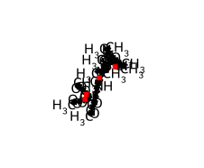 CCN(CCCC(=O)NCCCCC(C(=O)OCOC(C)=O)N(CC(=O)OCOC(C)=O)CC(=O)OCOC(C)=O)c1cc(OC)c(-c2c3ccc(=[N+](C)C)cc-3oc3cc(N(C)C)ccc23)cc1C